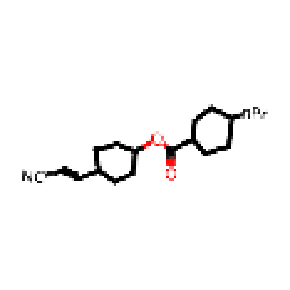 CCCC1CCC(C(=O)OC2CCC(/C=C/C#N)CC2)CC1